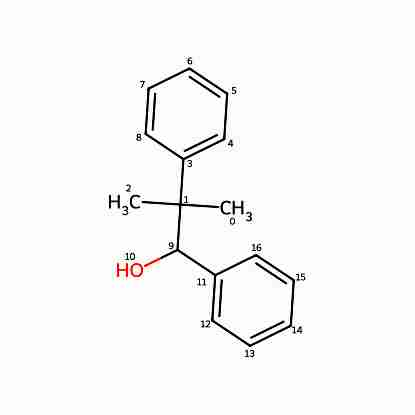 CC(C)(c1ccccc1)C(O)c1ccccc1